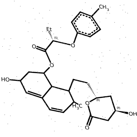 CC[C@H](Oc1ccc(C)cc1)C(=O)OC1CC(O)C=C2C=CC(C)C(CC[C@@H]3C[C@@H](O)CC(=O)O3)C21